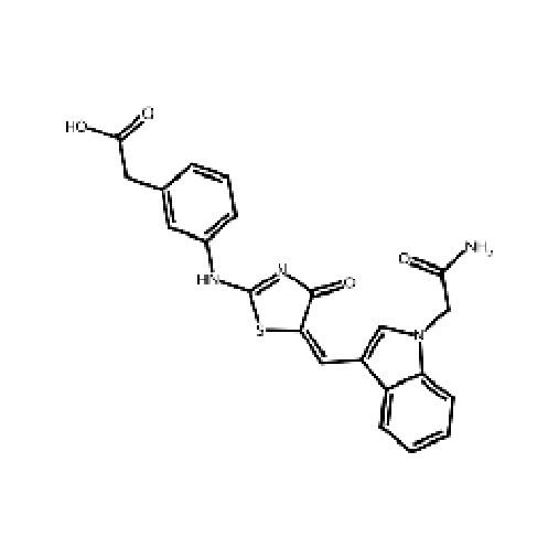 NC(=O)Cn1cc(C=C2SC(Nc3cccc(CC(=O)O)c3)=NC2=O)c2ccccc21